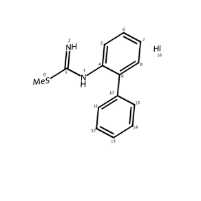 CSC(=N)Nc1ccccc1-c1ccccc1.I